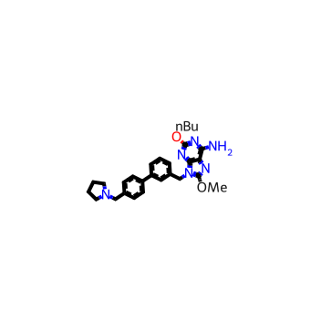 CCCCOc1nc(N)c2nc(OC)n(Cc3cccc(-c4ccc(CN5CCCC5)cc4)c3)c2n1